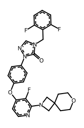 O=c1n(Cc2c(F)cccc2F)cnn1-c1ccc(Oc2ccnc(N3CC4(CCOCC4)C3)c2F)cc1